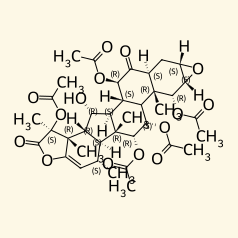 CC(=O)O[C@H]1C(=O)[C@H]2C[C@@H]3O[C@@H]3[C@H](OC(C)=O)[C@]2(C)C2[C@@H]1[C@@H]1[C@@H](O)[C@@H]3[C@H]([C@H](C)C=C4OC(=O)[C@@](C)(OC(C)=O)[C@@]43C)[C@@]1(C)[C@@H](OC(C)=O)[C@H]2OC(C)=O